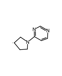 [CH]1CCN(c2ccncn2)C1